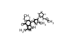 CCn1cc(-c2cc(N3CCC[C@H]3COC)n(C)n2)c2[nH]nc(N)c2c1=O